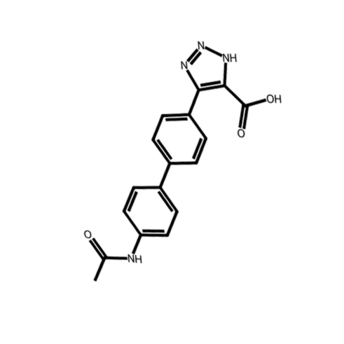 CC(=O)Nc1ccc(-c2ccc(-c3nn[nH]c3C(=O)O)cc2)cc1